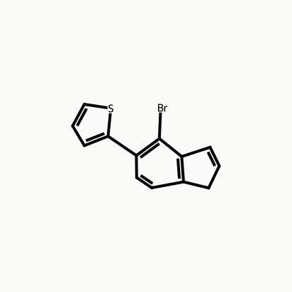 Brc1c(-c2cccs2)ccc2c1C=CC2